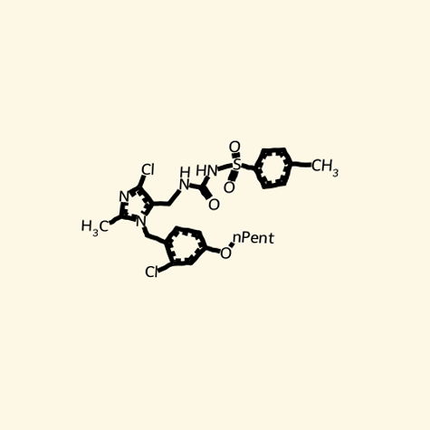 CCCCCOc1ccc(Cn2c(C)nc(Cl)c2CNC(=O)NS(=O)(=O)c2ccc(C)cc2)c(Cl)c1